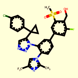 Cc1nc(C(F)(F)F)cn1-c1ccc(-c2cc(F)c(CO)c(S(C)(=O)=O)c2)cc1-n1nncc1C1(c2ccc(Cl)cc2)CC1